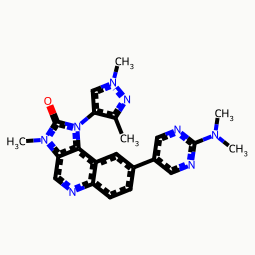 Cc1nn(C)cc1-n1c(=O)n(C)c2cnc3ccc(-c4cnc(N(C)C)nc4)cc3c21